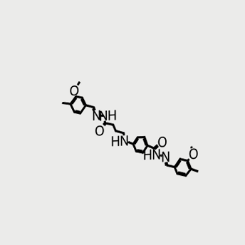 COc1cc(/C=N/NC(=O)CCCNc2ccc(C(=O)N/N=C/c3ccc(C)c(OC)c3)cc2)ccc1C